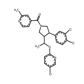 Cc1cc(C(=O)N2CC(c3ccc(Cl)c(Cl)c3)C(C(C)Oc3ccc(Cl)cn3)C2)ccn1